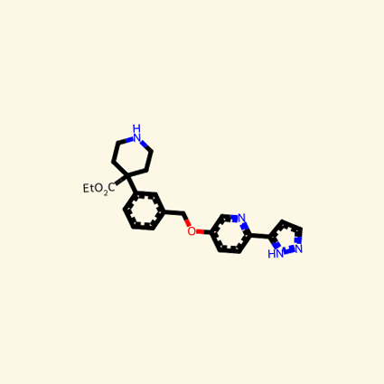 CCOC(=O)C1(c2cccc(COc3ccc(-c4ccn[nH]4)nc3)c2)CCNCC1